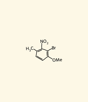 COc1ccc(C)c([N+](=O)[O-])c1Br